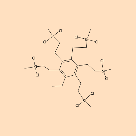 CCc1c(CC[Si](C)(Cl)Cl)c(CC[Si](C)(Cl)Cl)c(CC[Si](C)(Cl)Cl)c(CC[Si](C)(Cl)Cl)c1CC[Si](C)(Cl)Cl